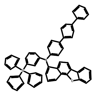 c1ccc(-c2ccc(-c3ccc(N(c4cccc([Si](c5ccccc5)(c5ccccc5)c5ccccc5)c4)c4cccc5c4ccc4c6ccccc6oc54)cc3)cc2)cc1